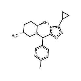 C[C@@H]1CC[C@@H](C)N(C(c2ccc(F)cc2)c2nc(C3CC3)no2)C1